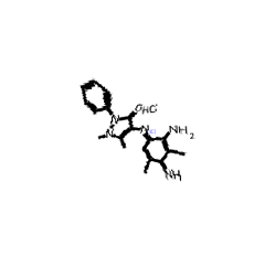 CC1=C/C(=N\c2c(C)n(C)n(-c3ccccc3)c2=O)C(N)=C(C)C1=N.Cl